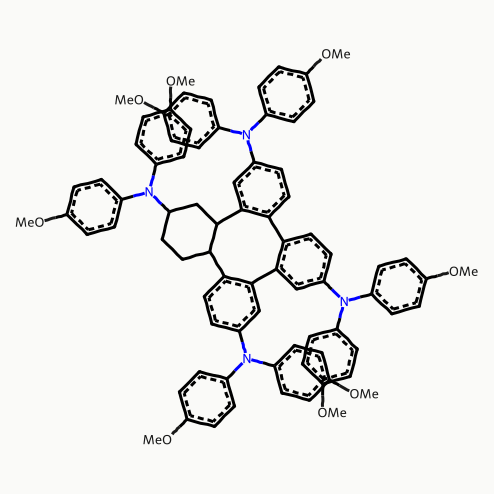 COc1ccc(N(c2ccc(OC)cc2)c2ccc3c(c2)-c2cc(N(c4ccc(OC)cc4)c4ccc(OC)cc4)ccc2C2CCC(N(c4ccc(OC)cc4)c4ccc(OC)cc4)CC2c2cc(N(c4ccc(OC)cc4)c4ccc(OC)cc4)ccc2-3)cc1